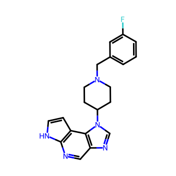 Fc1cccc(CN2CCC(n3cnc4cnc5[nH]ccc5c43)CC2)c1